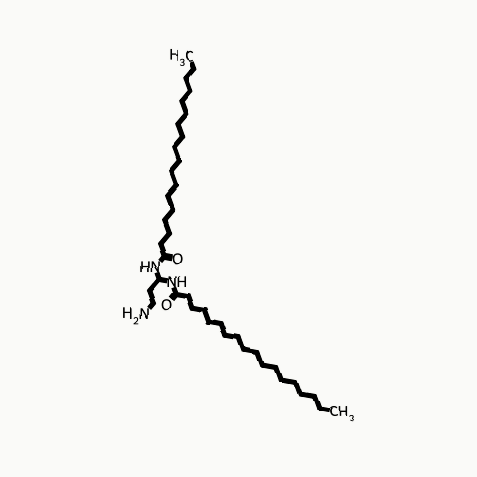 CCCCCCCCCCCCCCCCCC(=O)NC(CCN)NC(=O)CCCCCCCCCCCCCCCCC